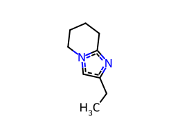 CCc1cn2c(n1)CCCC2